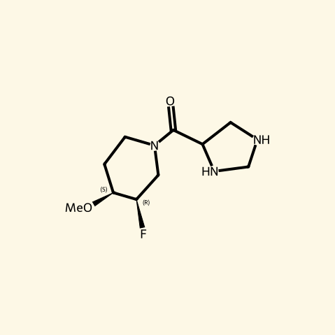 CO[C@H]1CCN(C(=O)C2CNCN2)C[C@H]1F